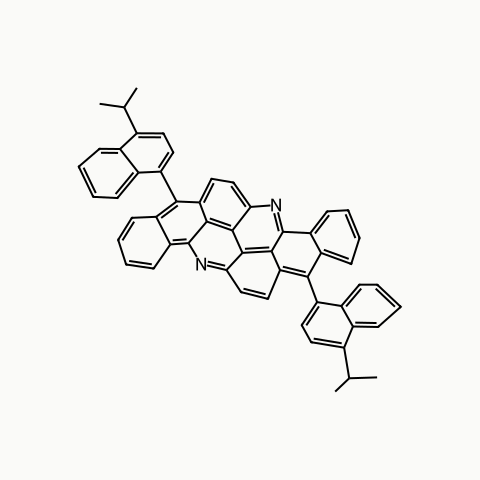 CC(C)c1ccc(-c2c3ccccc3c3nc4ccc5c(-c6ccc(C(C)C)c7ccccc67)c6ccccc6c6nc7ccc2c3c7c4c56)c2ccccc12